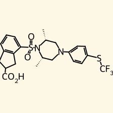 C[C@@H]1CN(c2ccc(SC(F)(F)F)cc2)C[C@H](C)N1S(=O)(=O)c1cccc2c1CC(C(=O)O)C2